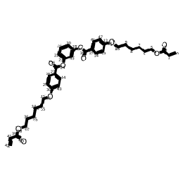 C=CC(=O)OCCCCCCOc1ccc(C(=O)Oc2cccc(OC(=O)c3ccc(OCCCCCCOC(=O)C=C)cc3)c2)cc1